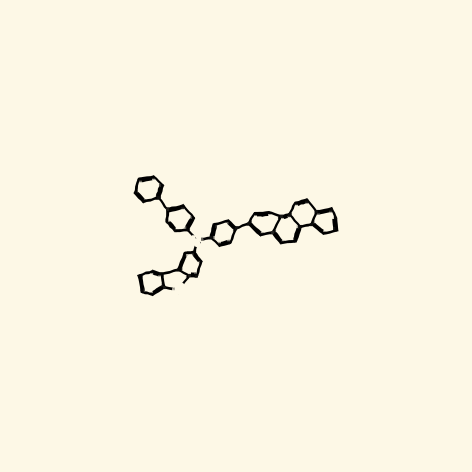 c1ccc(-c2ccc(N(c3ccc(-c4ccc5c(ccc6c7ccccc7ccc56)c4)cc3)c3ccc4oc5ccccc5c4c3)cc2)cc1